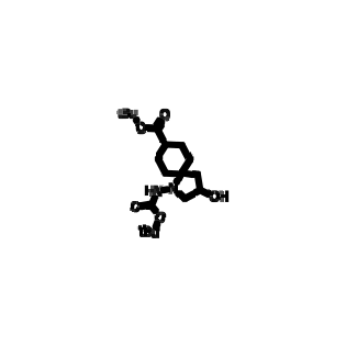 CC(C)(C)OC(=O)NN1CC(O)CC12CCC(C(=O)OC(C)(C)C)CC2